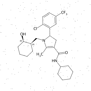 CC1=C(C(=O)NC2CCCCC2)CC(c2cc(C(F)(F)F)ccc2Cl)N1C[C@H]1CCCC[C@H]1O